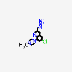 CN1CCN(c2cc(Cl)cc3cc(CN=[N+]=[N-])cnc23)CC1